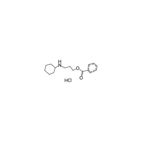 Cl.O=C(OCCCNC1CCCCC1)c1ccccc1